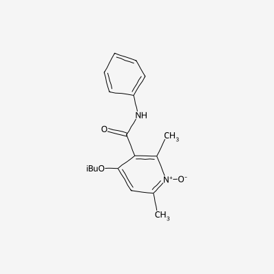 Cc1cc(OCC(C)C)c(C(=O)Nc2ccccc2)c(C)[n+]1[O-]